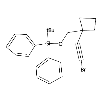 CC(C)(C)[Si](OCC1(C#CBr)CCC1)(c1ccccc1)c1ccccc1